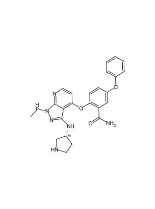 CPn1nc(N[C@@H]2CCNC2)c2c(Oc3ccc(Oc4ccccc4)cc3C(N)=O)ccnc21